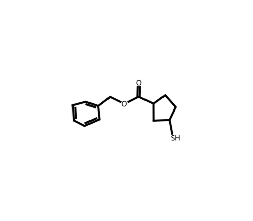 O=C(OCc1ccccc1)C1CCC(S)C1